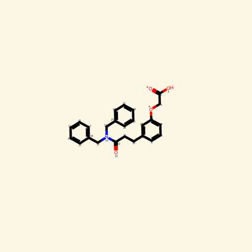 O=C(O)COc1cccc(CCC(=O)N(Cc2ccccc2)Cc2ccccc2)c1